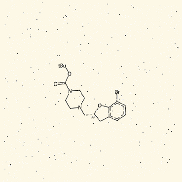 CC(C)(C)OC(=O)N1CCN(C[C@H]2Cc3cccc(Br)c3O2)CC1